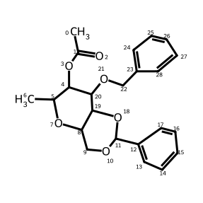 CC(=O)OC1C(C)OC2COC(c3ccccc3)OC2C1OCc1ccccc1